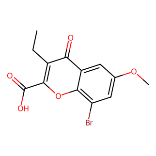 CCc1c(C(=O)O)oc2c(Br)cc(OC)cc2c1=O